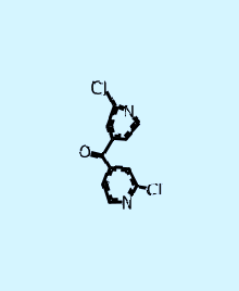 O=C(c1ccnc(Cl)c1)c1ccnc(Cl)c1